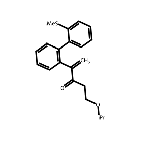 C=C(C(=O)CCOC(C)C)c1ccc[c]c1-c1ccccc1SC